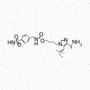 C=C(N)c1ncn(CCCCOC(=O)NCc2ccc(S(=O)(=O)NC)cc2)c1/C=C(\C)CC